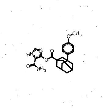 COc1ccc(C23CC4CC(CC(C(=O)Oc5nc[nH]c5C(N)=O)(C4)C2)C3)cc1